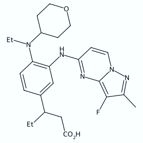 CCC(CC(=O)O)c1ccc(N(CC)C2CCOCC2)c(Nc2ccn3nc(C)c(F)c3n2)c1